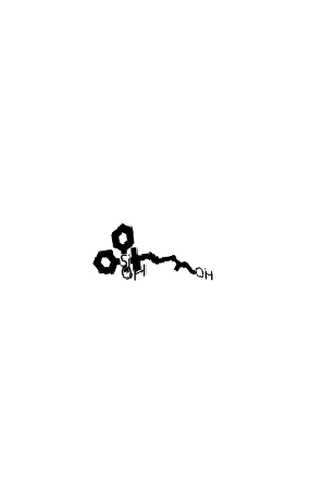 C/C(=C\CO)CCCC(C)(C)[Si](O)(c1ccccc1)c1ccccc1